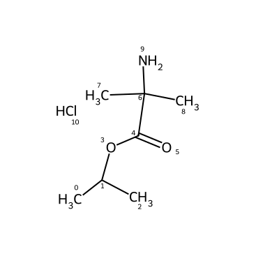 CC(C)OC(=O)C(C)(C)N.Cl